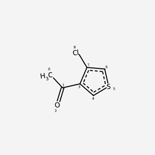 CC(=O)c1cscc1Cl